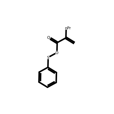 C=C(CCC)C(=O)OSc1ccccc1